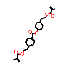 C=C(C)C(=O)OCCc1ccc(C(=O)OC2CCC(CCOC(=O)C(=C)C)CC2)cc1